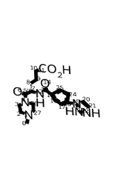 CN1CCN(C(=O)[C@H](CCCC(=O)O)NC(=O)c2ccc(N3C=CNN3)cc2)CC1